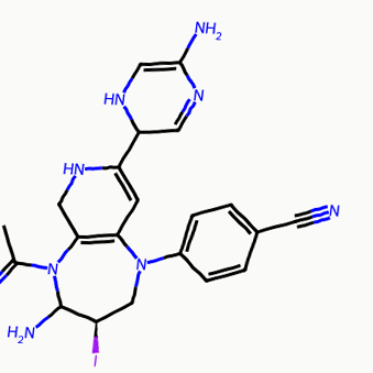 CC(=N)N1C2=C(C=C(C3C=NC(N)=CN3)NC2)N(c2ccc(C#N)cc2)C[C@@H](I)C1N